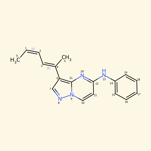 C/C=C\C=C(/C)c1cnn2ccc(Nc3ccccc3)nc12